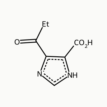 CCC(=O)c1nc[nH]c1C(=O)O